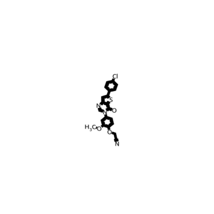 COc1cc(-n2cnc3cc(-c4ccc(Cl)cc4)sc3c2=O)ccc1OCC#N